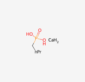 CCCCP(=O)(O)O.[CaH2]